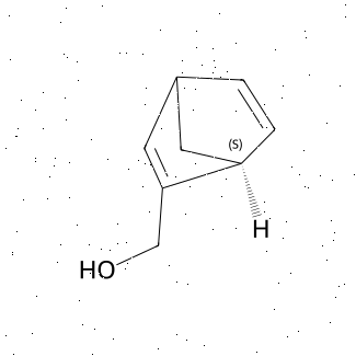 OCC1=CC2C=C[C@@H]1C2